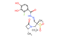 C[C@@H]1CC(=O)N1[C@@H](C(=O)O)[C@](C)(/C=N/NC(=O)c1ccc(O)c(O)c1F)[SH](=O)=O